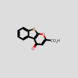 O=C(O)c1cc(=O)c2c(o1)sc1ccccc12